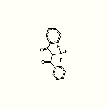 O=C(c1ccccc1)C(C(=O)c1ccccc1)C(F)(F)F